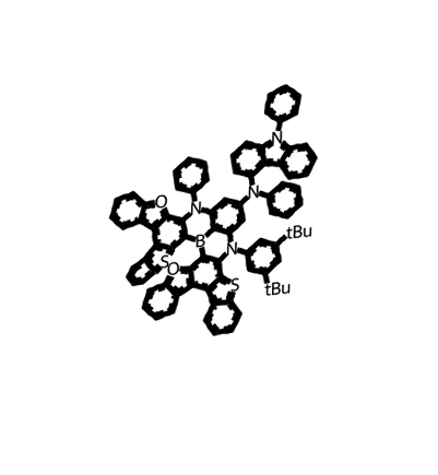 CC(C)(C)c1cc(N2c3cc(N(c4ccccc4)c4cccc5c4c4ccccc4n5-c4ccccc4)cc4c3B(c3c2c2sc5ccccc5c2c2c3oc3ccccc32)c2c(c3oc5ccccc5c3c3c2sc2ccccc23)N4c2ccccc2)cc(C(C)(C)C)c1